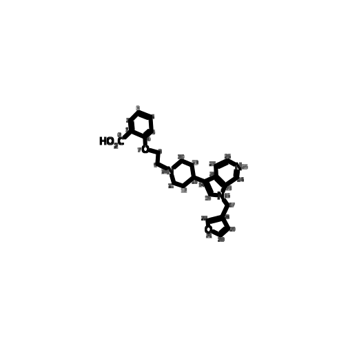 O=C(O)c1ccccc1OCCN1CCC(c2cn(Cc3ccoc3)c3cnccc23)CC1